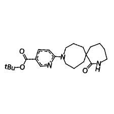 CC(C)(C)OC(=O)c1ccc(N2CCCC3(CCCCNC3=O)CCC2)nc1